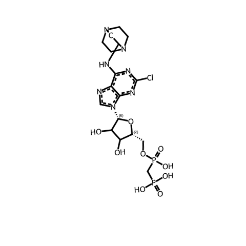 O=P(O)(O)CP(=O)(O)OC[C@H]1O[C@@H](n2cnc3c(NC4CN5CCN4CC5)nc(Cl)nc32)C(O)C1O